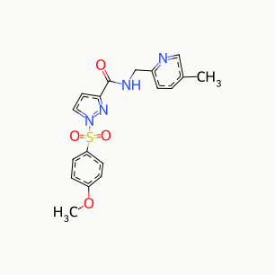 COc1ccc(S(=O)(=O)n2ccc(C(=O)NCc3ccc(C)cn3)n2)cc1